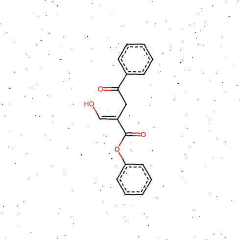 O=C(Oc1ccccc1)C(=CO)CC(=O)c1ccccc1